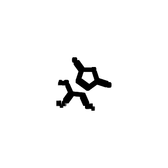 C=CC(=C)OC(C)=O.O=C1C=CC(=O)O1